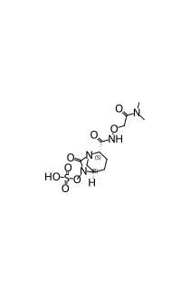 CN(C)C(=O)CONC(=O)[C@@H]1CC[C@@H]2CN1C(=O)N2OS(=O)(=O)O